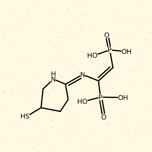 O=P(O)(O)C=C(N=C1CCC(S)CN1)P(=O)(O)O